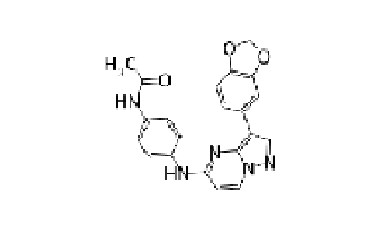 CC(=O)Nc1ccc(Nc2ccn3ncc(-c4ccc5c(c4)OCO5)c3n2)cc1